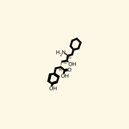 N[C@@H](CC1CCCCC1)[C@@H](O)C[C@@H](Cc1ccc(O)cc1)C(=O)O